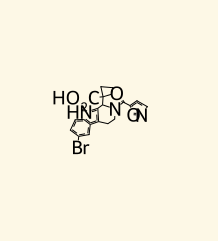 O=C(c1ccno1)N1CCc2c([nH]c3ccc(Br)cc23)C1C1(C(=O)O)CCC1